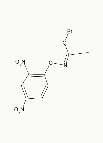 CCOC(C)=NOc1ccc([N+](=O)[O-])cc1[N+](=O)[O-]